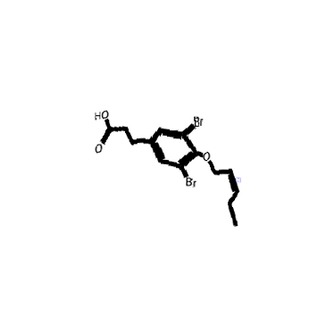 CC/C=C\COc1c(Br)cc(CCC(=O)O)cc1Br